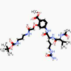 COC(=O)c1ccc(NC(=O)[C@H](CCCNC(N)=O)NC(=O)[C@@H](NC(C)=O)C(C)C)cc1OCC(=O)NCCCNC(=O)OC(C)(C)C